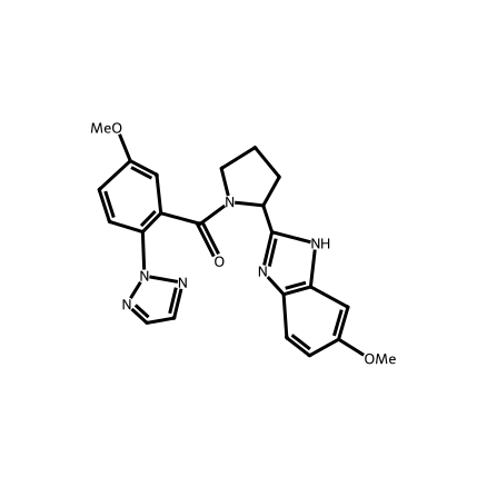 COc1ccc(-n2nccn2)c(C(=O)N2CCCC2c2nc3ccc(OC)cc3[nH]2)c1